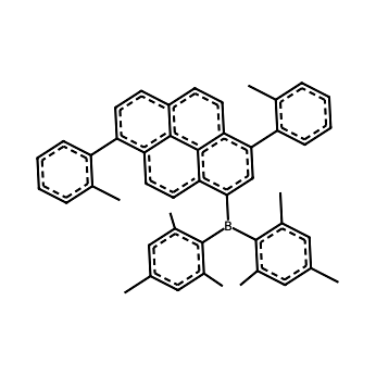 Cc1cc(C)c(B(c2c(C)cc(C)cc2C)c2cc(-c3ccccc3C)c3ccc4ccc(-c5ccccc5C)c5ccc2c3c45)c(C)c1